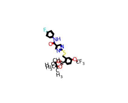 CC1(C)OB(c2ccc(OC(F)(F)F)cc2CSc2ncc(C(=O)Nc3ccc(F)cc3)cn2)OC1(C)C